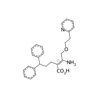 N/C(COCCc1ccccn1)=C(/CCC(c1ccccc1)c1ccccc1)C(=O)O